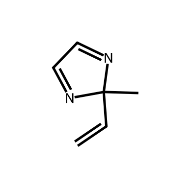 C=CC1(C)N=CC=N1